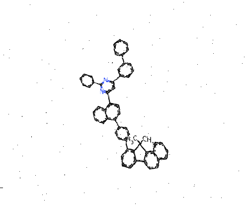 CC1(C)c2c(-c3ccc(-c4ccc(-c5cc(-c6cccc(-c7ccccc7)c6)nc(-c6ccccc6)n5)c5ccccc45)cc3)cccc2-c2ccc3ccccc3c21